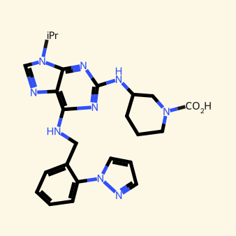 CC(C)n1cnc2c(NCc3ccccc3-n3cccn3)nc(NC3CCCN(C(=O)O)C3)nc21